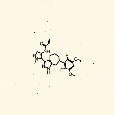 C=CC(=O)Nc1cnn(C)c1-c1n[nH]c2c1CCCC(c1c(F)c(OC)cc(OC)c1F)C2